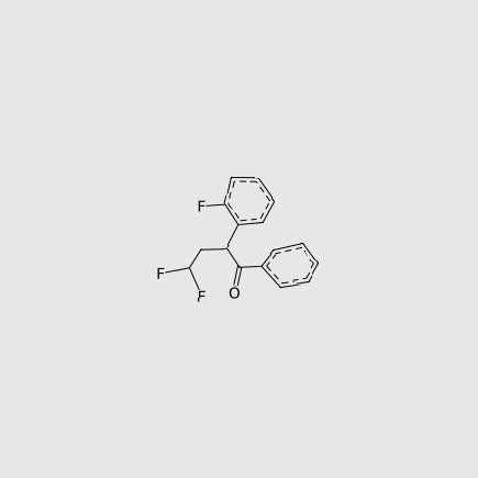 O=C(c1ccccc1)C(CC(F)F)c1ccccc1F